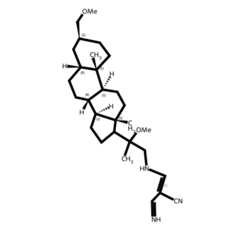 COC[C@H]1CC[C@@]2(C)[C@H](CC[C@@H]3[C@@H]2CC[C@]2(C)C(C(C)(CN/C=C(/C#N)C=N)OC)CC[C@@H]32)C1